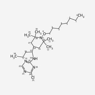 CCCCCCCCON1C(C)(C)CC(C(CCC)Nc2ncnc(Cl)n2)CC1(C)C